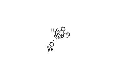 CN1C(=O)C(NC(=O)CCc2ccc(C(F)(F)F)cc2)N=C(c2ccco2)c2ccccc21